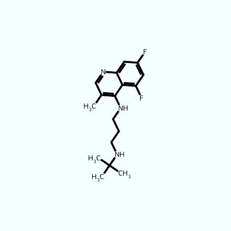 Cc1cnc2cc(F)cc(F)c2c1NCCCNC(C)(C)C